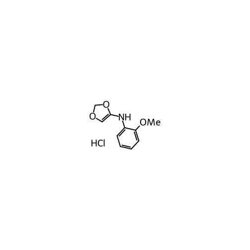 COc1ccccc1NC1=COCO1.Cl